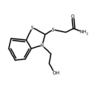 NC(=O)CSC1Sc2ccccc2N1CCO